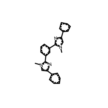 Cn1cc(-c2ccccc2)nc1-c1cccc(-c2nc(-c3ccccc3)cn2C)c1